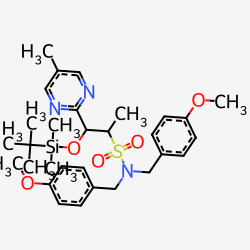 COc1ccc(CN(Cc2ccc(OC)cc2)S(=O)(=O)C(C)C(O[Si](C)(C)C(C)(C)C)c2ncc(C)cn2)cc1